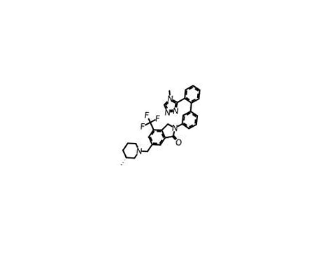 C[C@@H]1CCCN(Cc2cc3c(c(C(F)(F)F)c2)CN(c2cccc(-c4ccccc4-c4nncn4C)c2)C3=O)C1